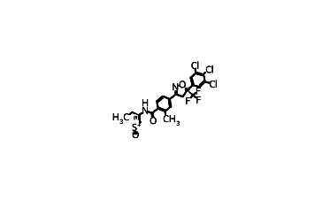 CC[C@H](C[S+]=O)NC(=O)c1ccc(C2=NO[C@@](c3cc(Cl)c(Cl)c(Cl)c3)(C(F)(F)F)C2)cc1C